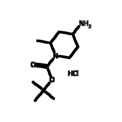 CC1CC(N)CCN1C(=O)OC(C)(C)C.Cl